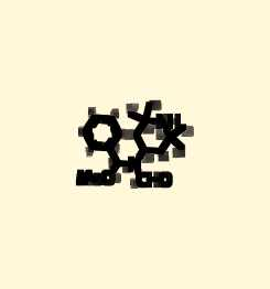 COC(c1ccccc1)N(C=O)C1CC(C)(C)NC(C)(C)C1